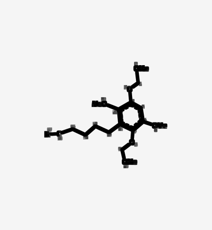 COCOc1cc(OC)c(OCOC)c(CCCCCBr)c1OC